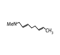 CC=CCCC=CCNC